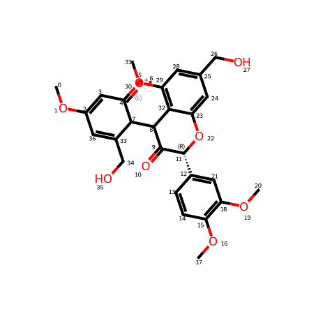 COC1=C/C(=[O+]/C)C(C2C(=O)[C@@H](c3ccc(OC)c(OC)c3)Oc3cc(CO)cc(OC)c32)C(CO)=C1